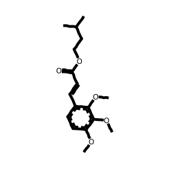 COc1ccc(/C=C/C(=O)OCCC(C)C)c(OC)c1OC